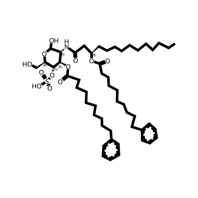 CCCCCCCCCCC[C@H](CC(=O)N[C@H]1C(O)O[C@H](CO)[C@@H](OS(=O)(=O)O)[C@@H]1OC(=O)CCCCCCCCCc1ccccc1)OC(=O)CCCCCCCCCc1ccccc1